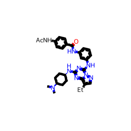 CCc1cnn2c(Nc3cccc(NC(=O)c4ccc(NC(C)=O)cc4)c3)nc(N[C@H]3CC[C@H](N(C)C)CC3)nc12